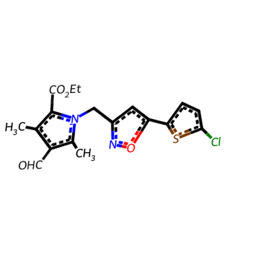 CCOC(=O)c1c(C)c(C=O)c(C)n1Cc1cc(-c2ccc(Cl)s2)on1